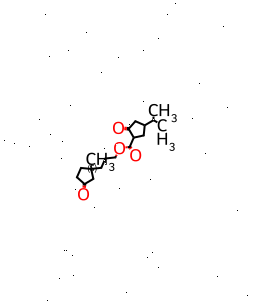 CC(C)C1CC(=O)C(C(=O)OCCC[C@@]2(C)CCC(=O)C2)C1